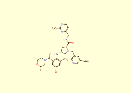 CNc1cncc(CN2C[C@H](Nc3c(C(=O)N4C[C@@H](C)O[C@@H](C)C4)cc(Br)cc3[N+](=O)[O-])C[C@H]2C(=O)NCc2ccnc(C(F)(F)F)n2)c1